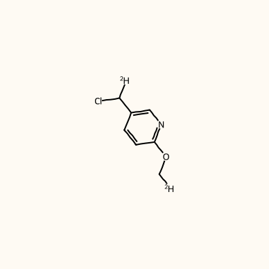 [2H]COc1ccc(C([2H])Cl)cn1